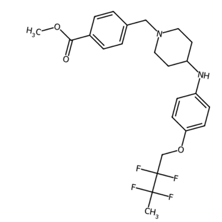 COC(=O)c1ccc(CN2CCC(Nc3ccc(OCC(F)(F)C(C)(F)F)cc3)CC2)cc1